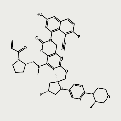 C#Cc1c(F)ccc2cc(O)cc(N3Cc4nc(OC[C@]5(C)C[C@@H](F)CN5c5ccc(N6CCOC[C@H]6C)nc5)nc(N(C)C[C@@H]5CCCN5C(=O)C=C)c4OC3=O)c12